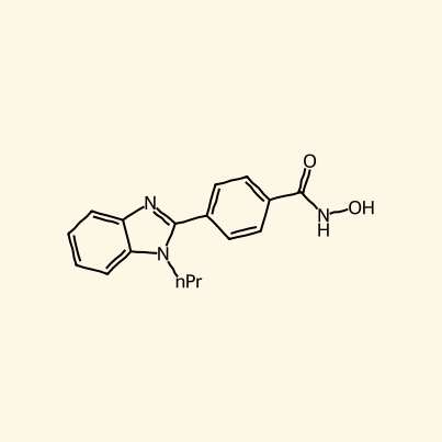 CCCn1c(-c2ccc(C(=O)NO)cc2)nc2ccccc21